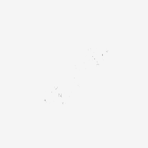 CC(C)(CCC(=S)CCC(=S)CCC(C)(C)N1C(=O)C=C2SCCC2C1=O)N1C(=O)C=C2SCCC2C1=O